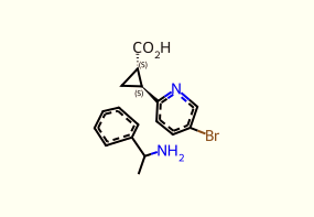 CC(N)c1ccccc1.O=C(O)[C@H]1C[C@@H]1c1ccc(Br)cn1